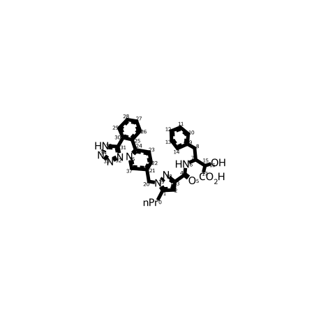 CCCc1cc(C(=O)NC(Cc2ccccc2)C(O)C(=O)O)nn1Cc1ccc(-c2ccccc2-c2nnn[nH]2)nc1